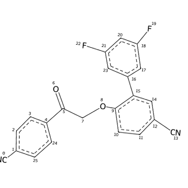 N#Cc1ccc(C(=O)COc2ccc(C#N)cc2-c2cc(F)cc(F)c2)cc1